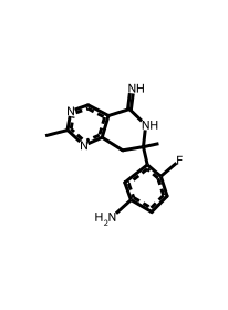 Cc1ncc2c(n1)CC(C)(c1cc(N)ccc1F)NC2=N